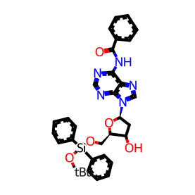 CC(C)(C)O[Si](OC[C@H]1O[C@@H](n2cnc3c(NC(=O)c4ccccc4)ncnc32)CC1O)(c1ccccc1)c1ccccc1